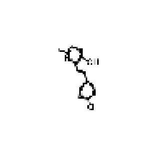 Cc1ccc(O)c(/C=C/c2ccc(Cl)cc2)n1